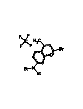 CCN(CC)c1ccc2c(C)cc(C(C)C)[o+]c2c1.F[B-](F)(F)F